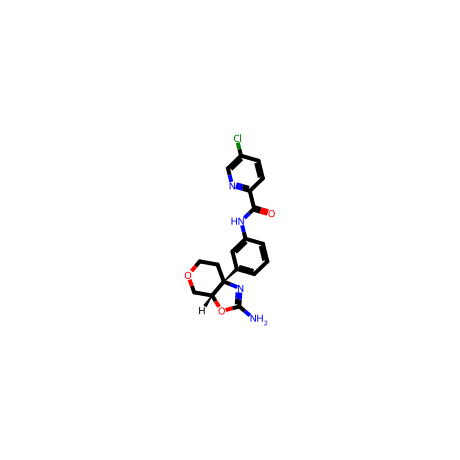 NC1=N[C@@]2(c3cccc(NC(=O)c4ccc(Cl)cn4)c3)CCOC[C@H]2O1